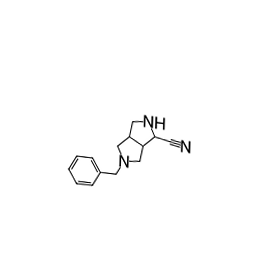 N#CC1NCC2CN(Cc3ccccc3)CC21